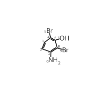 Nc1ccc(Br)c(O)c1Br